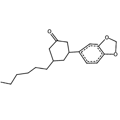 CCCCCCC1CC(=O)CC(c2ccc3c(c2)OCO3)C1